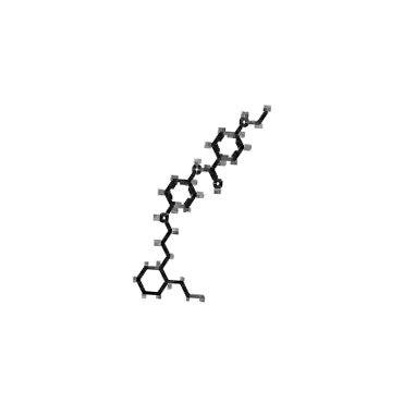 CCCC1CCCCC1CCCOc1ccc(OC(=O)c2ccc(OCC)cc2)cc1